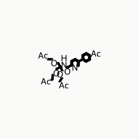 CC(=O)CCOCC(COCCC(C)=O)(COCCC(C)=O)NC(=O)c1ccc(-c2ccc(C(C)=O)cc2)cn1